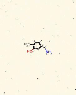 Cc1ccc(CN)cc1O